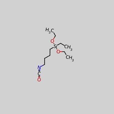 CCO[Si](CC)(CCCCN=C=O)OCC